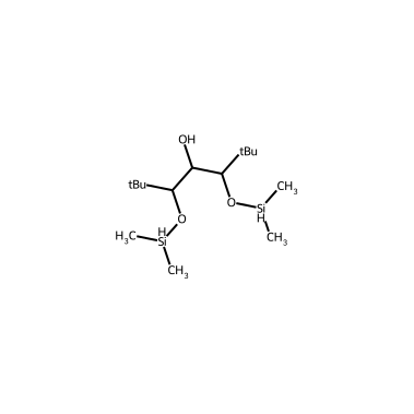 C[SiH](C)OC(C(O)C(O[SiH](C)C)C(C)(C)C)C(C)(C)C